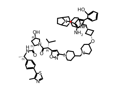 Cc1ncsc1-c1ccc([C@H](C)NC(=O)[C@@H]2C[C@@H](O)CN2C(=O)[C@@H](c2cc(N3CCC(CN4CCC(O[C@H]5C[C@H](CN6CCC(N7C8CCC7CN(c7cc(-c9ccccc9O)[nH]c7N)C8)CC6)C5)CC4)CC3)no2)C(C)C)cc1